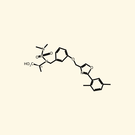 Cc1ccc(C)c(-c2nc(COc3cccc(CN([C@@H](C)C(=O)O)S(=O)(=O)N(C)C)c3)co2)c1